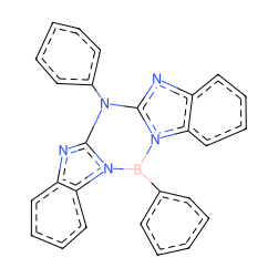 c1ccc(B2n3c(nc4ccccc43)N(c3ccccc3)c3nc4ccccc4n32)cc1